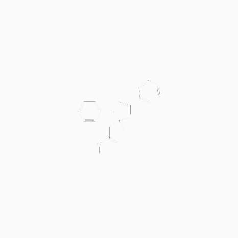 CC1(CC(=O)NO)SC(c2ccccc2)=NN1c1ccccc1